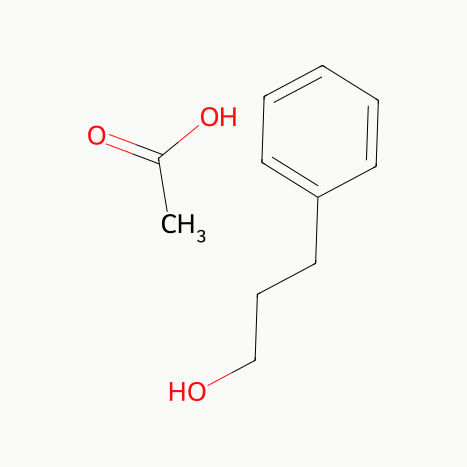 CC(=O)O.OCCCc1ccccc1